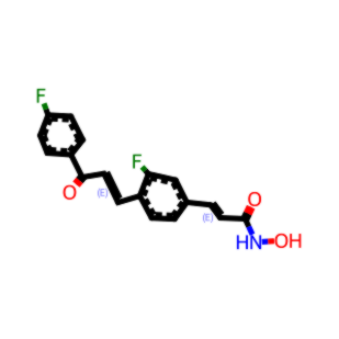 O=C(/C=C/c1ccc(/C=C/C(=O)c2ccc(F)cc2)c(F)c1)NO